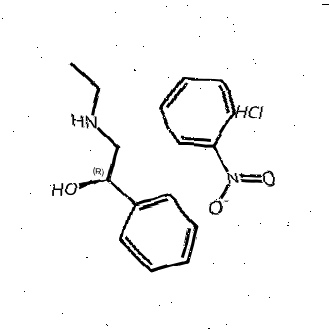 CCNC[C@H](O)c1ccccc1.Cl.O=[N+]([O-])c1ccccc1